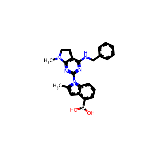 Cc1cc2c(B(O)O)cccc2n1-c1nc(NCc2ccccc2)c2c(n1)N(C)CC2